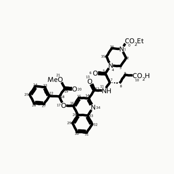 CCOC(=O)N1CCN(C(=O)[C@H](CCC(=O)O)NC(=O)c2cc(OC(C(=O)OC)c3ccccc3)c3ccccc3n2)CC1